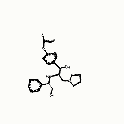 OC[C@@H](N[C@H](CN1CCCC1)[C@H](O)c1ccc(OC(F)F)cc1)c1ccccc1